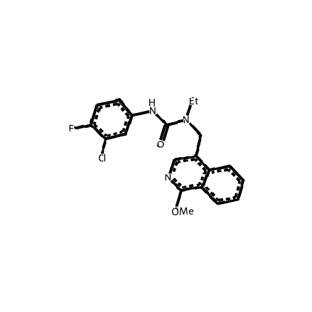 CCN(Cc1cnc(OC)c2ccccc12)C(=O)Nc1ccc(F)c(Cl)c1